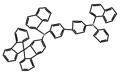 c1ccc(N(c2ccc(-c3ccc(N(c4ccc5c(c4)C4(c6ccccc6-c6ccccc64)c4ccccc4-5)c4cccc5ccccc45)cc3)cc2)c2cccc3ccccc23)cc1